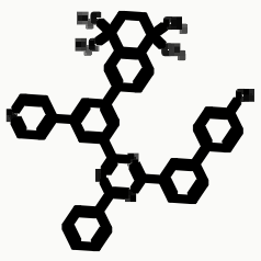 CC1(C)CCC(C)(C)c2cc(-c3cc(-c4ccncc4)cc(-c4nc(-c5ccccc5)nc(-c5cccc(-c6ccc(C#N)cc6)c5)n4)c3)ccc21